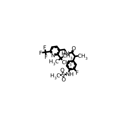 CC(C(=O)NCc1ccc(C(F)(F)F)nc1C(C)(C)C)c1ccc(NS(C)(=O)=O)c(F)c1